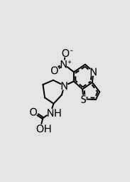 O=C(O)NC1CCCN(c2c([N+](=O)[O-])cnc3ccsc23)C1